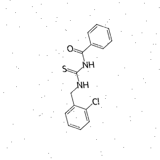 O=C(NC(=S)NCc1ccccc1Cl)c1ccccc1